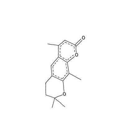 Cc1cc(=O)oc2c(C)c3c(cc12)CCC(C)(C)O3